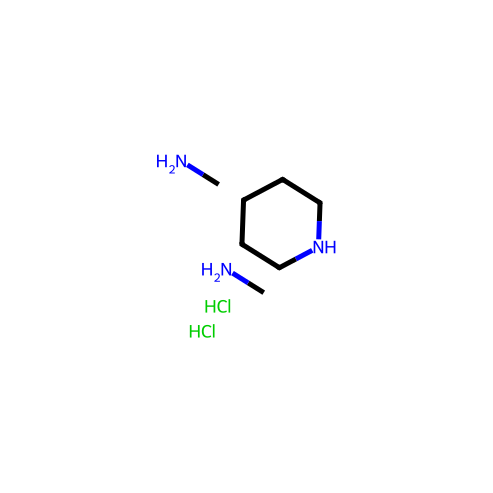 C1CCNCC1.CN.CN.Cl.Cl